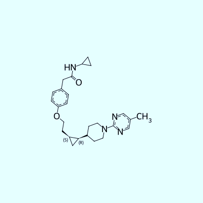 Cc1cnc(N2CCC([C@H]3C[C@H]3CCOc3ccc(CC(=O)NC4CC4)cc3)CC2)nc1